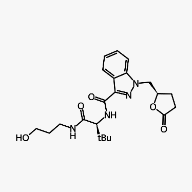 CC(C)(C)[C@H](NC(=O)c1nn(C[C@H]2CCC(=O)O2)c2ccccc12)C(=O)NCCCO